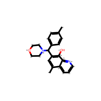 Cc1ccc(C(c2cc(C)c3cccnc3c2O)N2CCOCC2)cc1